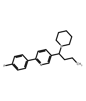 CCCC(c1ccc(-c2ccc(F)cc2)nc1)N1CCCCC1